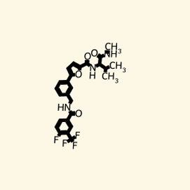 CNC(=O)C(NC(=O)c1ccc(-c2cccc(CNC(=O)c3ccc(F)c(C(F)(F)F)c3)c2)o1)C(C)C